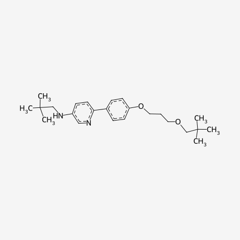 CC(C)(C)CNc1ccc(-c2ccc(OCCCOCC(C)(C)C)cc2)nc1